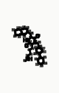 CNCCCCC1C(=O)NC(Cc2ccc3ccccc3c2)C(=O)N1Cc1ccc(-c2ccccc2)cc1